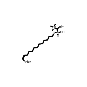 CCCCCC/C=C\CCCCCCCCCCCOP(=O)(O)C(CCC)[N+](C)(C)C